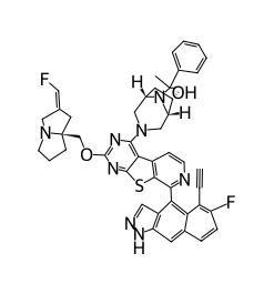 C#Cc1c(F)ccc2cc3[nH]ncc3c(-c3nccc4c3sc3nc(OC[C@@]56CCCN5C/C(=C\F)C6)nc(N5C[C@@H]6C[C@H](O)[C@H](C5)N6C(C)(C)c5ccccc5)c34)c12